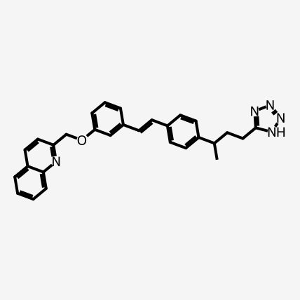 CC(CCc1nnn[nH]1)c1ccc(/C=C/c2cccc(OCc3ccc4ccccc4n3)c2)cc1